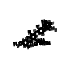 Cc1ccc(Nc2c(C(=O)NOC(C)(C)C)cc(Cc3cccc(NS(=O)(=O)C4(C)CC4)c3F)c(F)c2F)c(F)c1